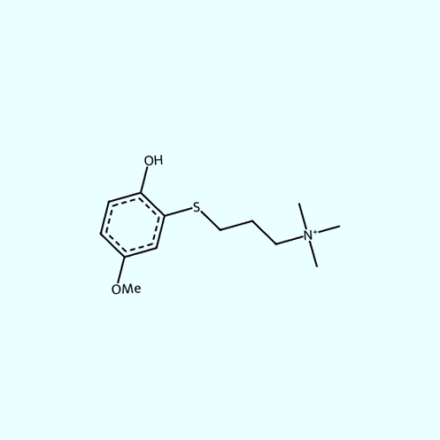 COc1ccc(O)c(SCCC[N+](C)(C)C)c1